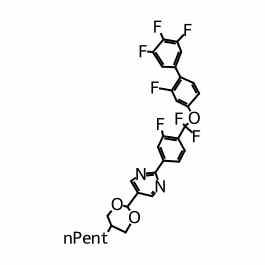 CCCCCC1COC(c2cnc(-c3ccc(C(F)(F)Oc4ccc(-c5cc(F)c(F)c(F)c5)c(F)c4)c(F)c3)nc2)OC1